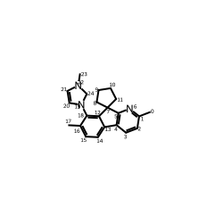 Cc1ccc2c(n1)C1(CCCC1)c1c-2ccc(C)c1N1C=CN(C)C1